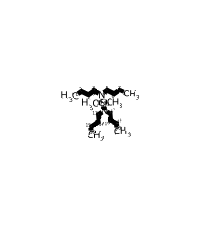 CCCCN(CCCC)[Si](C)(C)N(CCCC)CCCC